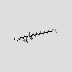 CCCCCCCCCCCC(=O)NCCC(N)CN